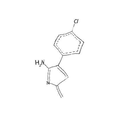 C=C1C=C(c2ccc(Cl)cc2)C(N)=N1